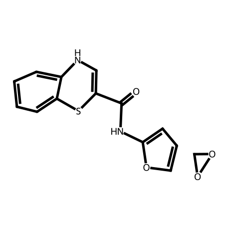 C1OO1.O=C(Nc1ccco1)C1=CNc2ccccc2S1